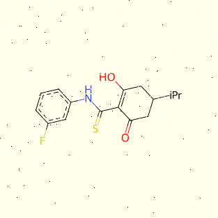 CC(C)C1CC(=O)C(C(=S)Nc2cccc(F)c2)=C(O)C1